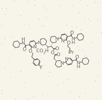 CC(C)CCOc1nc(N2CCC[C@@H](C(C(=O)OC(=O)C[C@@H]3CCCN(c4ccc(C(=O)NC5CCCCC5)cn4)C3)C(C(=O)O)[C@@H]3CCCN(c4ccc(C(=O)NC5CCCCC5)c(OCCc5ccc(F)cc5)n4)C3)C2)ccc1C(=O)NC1CCCCC1